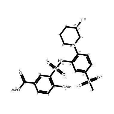 COC(=O)c1ccc(OC)c(S(=O)(=O)Nc2cc(S(C)(=O)=O)ccc2N2CCC[C@@H](F)C2)c1